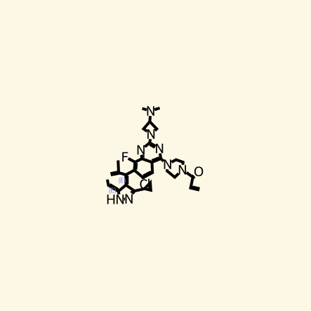 C=CC(=O)N1CCN(c2nc(N3CC(N(C)C)C3)nc3c(F)c(/C(C(=C)C)=c4\c(C5CC5)n[nH]\c4=C\C)c(Cl)cc23)CC1